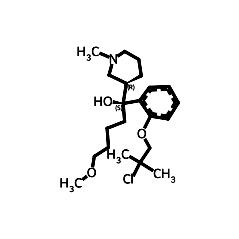 COCCCC[C@@](O)(c1ccccc1OCC(C)(C)Cl)[C@@H]1CCCN(C)C1